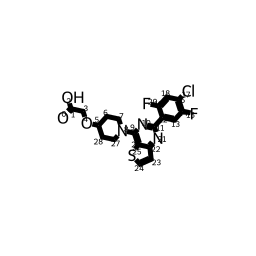 O=C(O)COC1CCN(c2nc(-c3cc(F)c(Cl)cc3F)nc3ccsc23)CC1